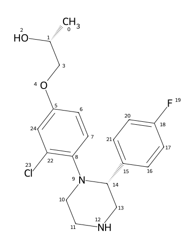 C[C@@H](O)COc1ccc(N2CCNC[C@H]2c2ccc(F)cc2)c(Cl)c1